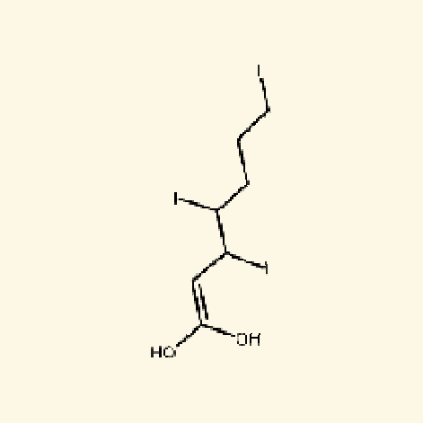 OC(O)=CC(I)C(I)CCCI